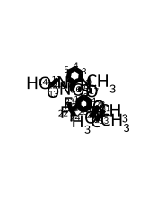 CN([C@@H]1CCCc2c1cnn2CC(=O)O)S(=O)(=O)c1cc(C(F)(F)F)cc(S(=O)(=O)C(C)(C)C)c1